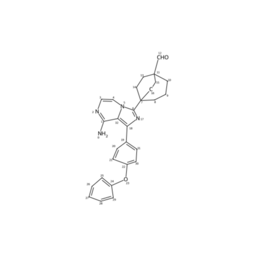 Nc1nccn2c(C34CCCC(C=O)(CC3)CC4)nc(-c3ccc(Oc4ccccc4)cc3)c12